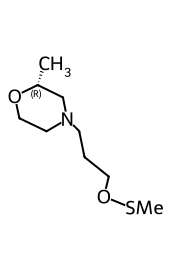 CSOCCCN1CCO[C@H](C)C1